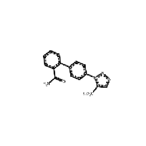 CCOC(=O)c1cnnn1-c1ccc(-c2ccccc2C(N)=O)cc1